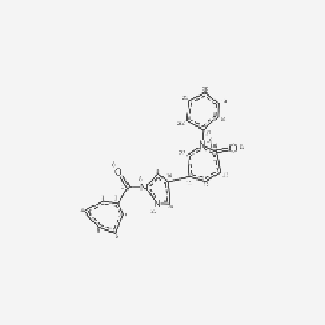 O=C(c1ccccc1)n1cc(-c2ccc(=O)n(-c3ccccc3)c2)cn1